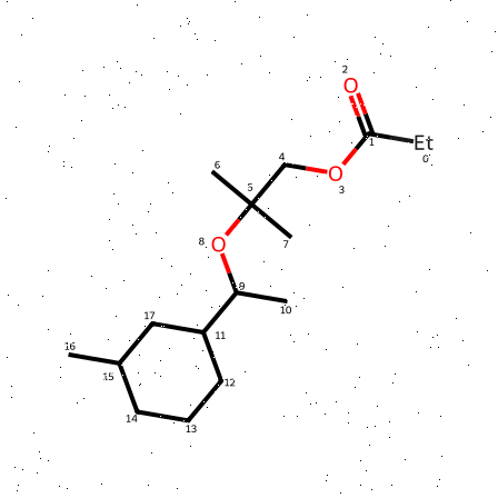 CCC(=O)OCC(C)(C)OC(C)C1CCCC(C)C1